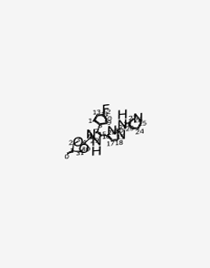 C=C1COC(c2nc(-c3ccc(F)cc3)c(-c3ccnc(Nc4cccnc4)n3)[nH]2)OC1